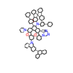 N#Cc1cc2c(N(c3ccc(-c4ccccc4)cc3)c3ccc4c(c3)C3(c5ccccc5-c5ccccc53)c3ccccc3-4)c(-c3ccc(-c4ccccc4)cc3)c3cc(N4C=CC=CC4)c4oc5cc(N6C=c7cc(-c8cc9ccccc9c9ccccc89)ccc7=C7C=CC=CC76)ccc5c4c3c2c2oc3cccc(N4C=NC=NC4)c3c12